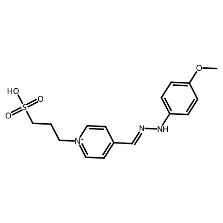 COc1ccc(NN=Cc2cc[n+](CCCS(=O)(=O)O)cc2)cc1